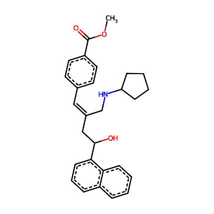 COC(=O)c1ccc(C=C(CNC2CCCC2)CC(O)c2cccc3ccccc23)cc1